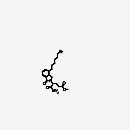 COC(=O)CC[C@@H](C(N)=O)N1Cc2c(CCCCCCBr)cccc2C1=O